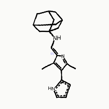 CC1=N/C(=C\NC23CC4CC(CC(C4)C2)C3)C(C)=C1c1ccc[nH]1